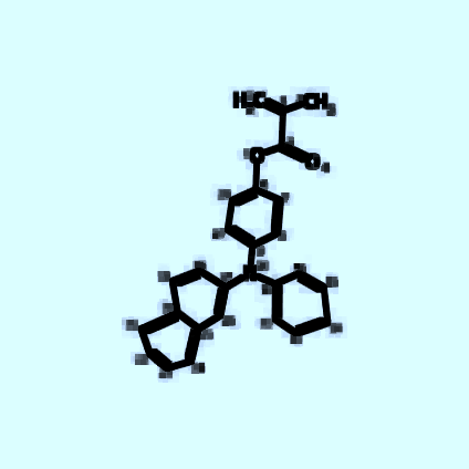 C=C(C)C(=O)Oc1ccc(N(c2ccccc2)c2ccc3ccccc3c2)cc1